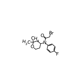 CC1(C)CC(N(C(=O)CBr)c2ccc(F)cc2)CCO1